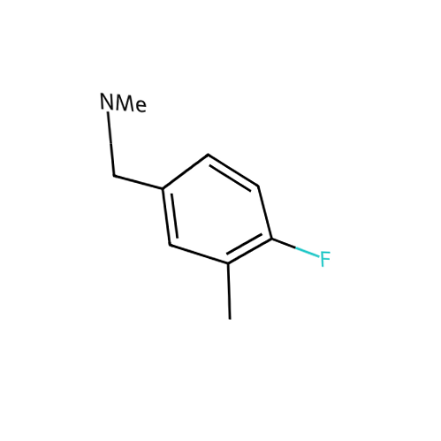 CNCc1ccc(F)c(C)c1